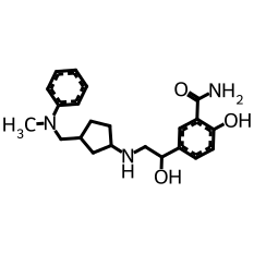 CN(CC1CCC(NCC(O)c2ccc(O)c(C(N)=O)c2)C1)c1ccccc1